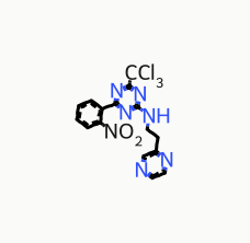 O=[N+]([O-])c1ccccc1-c1nc(NCCc2cnccn2)nc(C(Cl)(Cl)Cl)n1